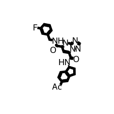 CC(=O)c1ccc2c(c1)CC[C@@H]2NC(=O)c1cc(C(=O)NCc2cccc(F)c2)nc2ncnn12